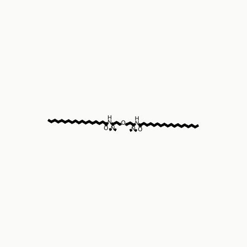 CCCCCCCCCCCCCCCCCC(=O)NC(CCOCCC(NC(=O)CCCCCCCCCCCCCCCCC)N(C)C)N(C)C